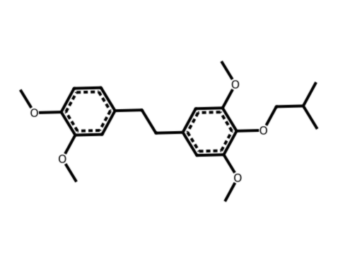 COc1ccc(CCc2cc(OC)c(OCC(C)C)c(OC)c2)cc1OC